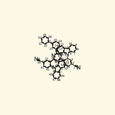 N#CC1=CC(n2c3ccccc3c3ccccc32)C(c2nc(-c3cccc(-c4ccccc4)c3)nc(-c3cc(C#N)ccc3-n3c4ccccc4c4ccccc43)n2)C=C1